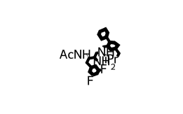 CC(=O)N[C@@H](Cc1cc(F)cc(F)c1)C(N)CNCc1cc(CC(C)C)ccc1-c1ccccc1